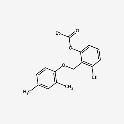 CCC(=O)Oc1cccc(CC)c1COc1ccc(C)cc1C